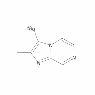 Cc1nc2cnccn2c1C(C)(C)C